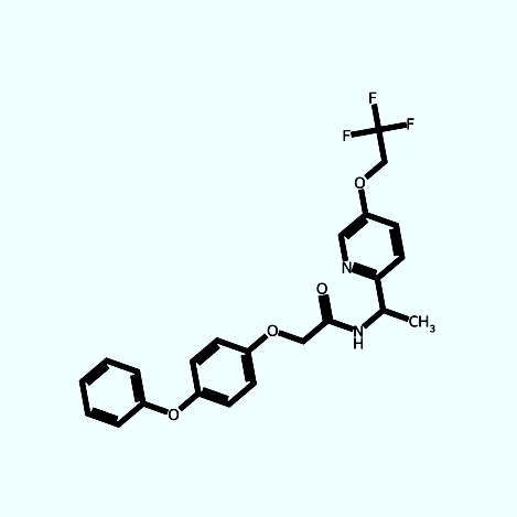 CC(NC(=O)COc1ccc(Oc2ccccc2)cc1)c1ccc(OCC(F)(F)F)cn1